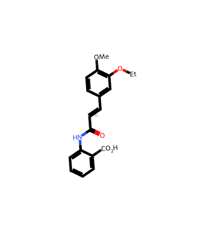 CCOc1cc(/C=C/C(=O)Nc2ccccc2C(=O)O)ccc1OC